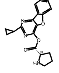 O=C(Oc1nc(C2CC2)nc2c1oc1ccccc12)[C@@H]1CCCN1